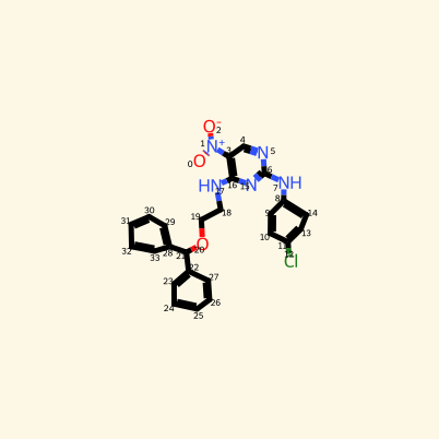 O=[N+]([O-])c1cnc(Nc2ccc(Cl)cc2)nc1NCCOC(c1ccccc1)c1ccccc1